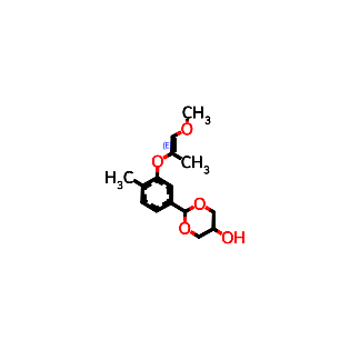 CO/C=C(\C)Oc1cc(C2OCC(O)CO2)ccc1C